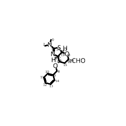 CN(C)C1=N[C@@H]2[C@@H](OCc3ccccc3)C[C@@H](C=O)O[C@@H]2S1